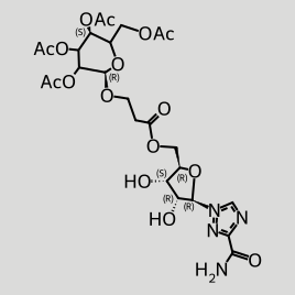 CC(=O)OCC1O[C@@H](OCCC(=O)OC[C@H]2O[C@@H](n3cnc(C(N)=O)n3)[C@H](O)[C@@H]2O)C(OC(C)=O)C(OC(C)=O)[C@H]1OC(C)=O